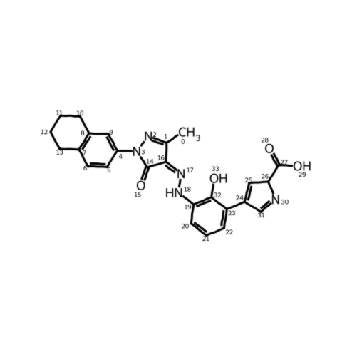 CC1=NN(c2ccc3c(c2)CCCC3)C(=O)/C1=N\Nc1cccc(C2=CC(C(=O)O)N=C2)c1O